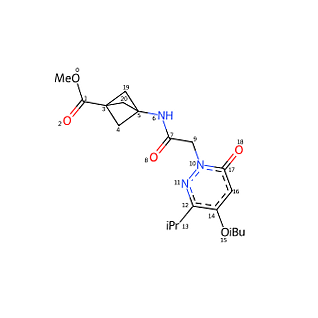 COC(=O)C12CC(NC(=O)Cn3nc(C(C)C)c(OCC(C)C)cc3=O)(C1)C2